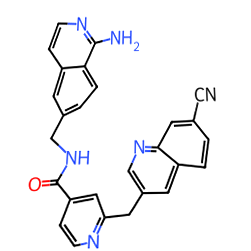 N#Cc1ccc2cc(Cc3cc(C(=O)NCc4ccc5c(N)nccc5c4)ccn3)cnc2c1